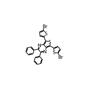 Brc1ccc(-c2sc(-c3ccc(Br)s3)c3nc(-c4ccccc4)c(-c4ccccc4)nc23)s1